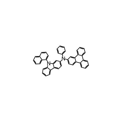 c1ccc(N(c2ccc3c4ccccc4c4ccccc4c3c2)c2ccc3c4ccccc4n(-c4cccc5ccccc45)c3c2)cc1